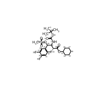 CC(C)(C)OC(=O)NC(CC(=O)OC1CCCCC1)C(OS(C)(=O)=O)c1cc(F)c(F)cc1F